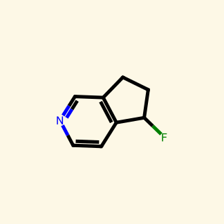 FC1CCc2cnccc21